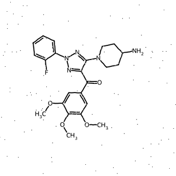 COc1cc(C(=O)c2nn(-c3ccccc3F)nc2N2CCC(N)CC2)cc(OC)c1OC